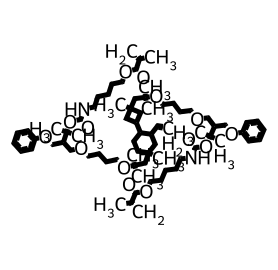 C=CC1CC(C)(CC(C)(C)OCCCCOCC(COc2ccccc2)C(C)(C)OC(=O)NCCCCCOC(=O)C(=C)C)CCC1C1CC(C)(CC(C)(C)OCCCCOCC(COc2ccccc2)C(C)(C)OC(=O)NCCCCCOC(=O)C(=C)C)C1